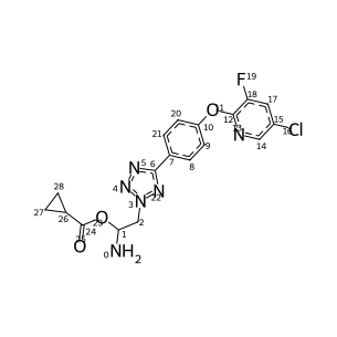 NC(Cn1nnc(-c2ccc(Oc3ncc(Cl)cc3F)cc2)n1)OC(=O)C1CC1